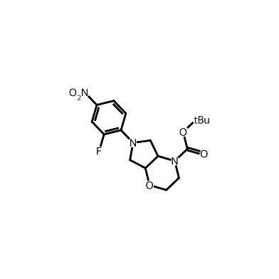 CC(C)(C)OC(=O)N1CCOC2CN(c3ccc([N+](=O)[O-])cc3F)CC21